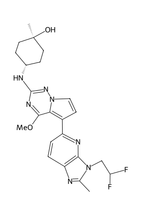 COc1nc(N[C@H]2CC[C@](C)(O)CC2)nn2ccc(-c3ccc4nc(C)n(CC(F)F)c4n3)c12